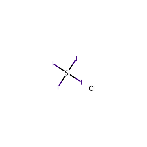 I[Si](I)(I)I.[C]